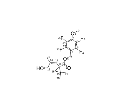 COc1c(F)c(F)c(COC(=O)C2(C=C(C)CO)CC2(C)C)c(F)c1F